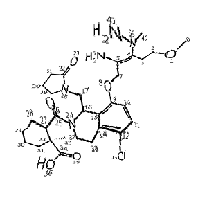 COCC/C(=C(/N)COc1ccc(Cl)c2c1C(CN1CCCC1=O)N(C(=O)C1CCCC[C@]1(C)C(=O)O)CC2)N(C)N